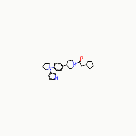 O=C(CC1CCCC1)N1CCC(c2ccc([N+]3(c4cccnc4)CCCC3)cc2)CC1